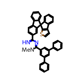 CN/C(=N\C(=N)c1ccc2c(c1)C1(c3ccccc3-2)c2ccccc2-c2ccsc21)c1cc(-c2ccccc2)cc(-c2ccccc2)c1